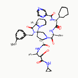 CCCC(NC(=O)[C@@H]1CC2(CN1C(=O)[C@@H](NC(=O)[C@@H](NC(=O)c1cnccn1)C1CCCCC1)C(C)(C)C)N(Cc1cccc(OC)c1)C(=O)[C@H]1CCCN12)C(=O)C(=O)NC1CC1